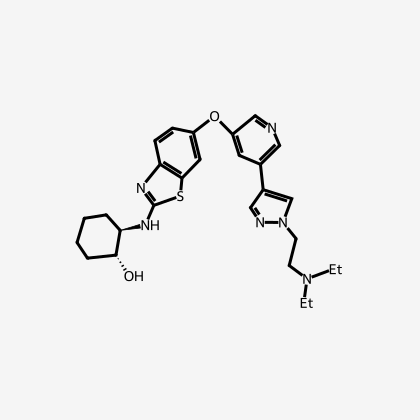 CCN(CC)CCn1cc(-c2cncc(Oc3ccc4nc(N[C@@H]5CCCC[C@H]5O)sc4c3)c2)cn1